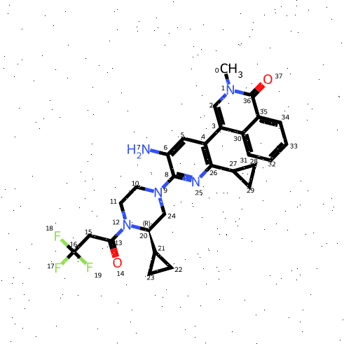 Cn1cc(-c2cc(N)c(N3CCN(C(=O)CC(F)(F)F)[C@H](C4CC4)C3)nc2C2CC2)c2ccccc2c1=O